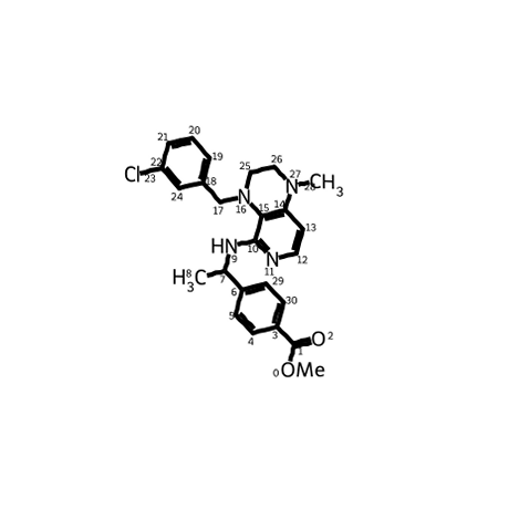 COC(=O)c1ccc(C(C)Nc2nccc3c2N(Cc2cccc(Cl)c2)CCN3C)cc1